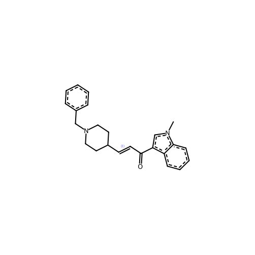 Cn1cc(C(=O)/C=C/C2CCN(Cc3ccccc3)CC2)c2ccccc21